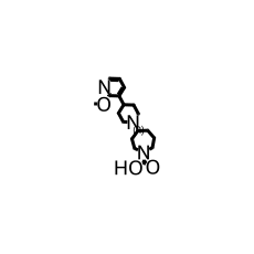 COc1ncccc1C1CCN([C@@H]2CCCN(C(=O)O)CC2)CC1